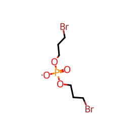 [O]P(=O)(OCCCBr)OCCCBr